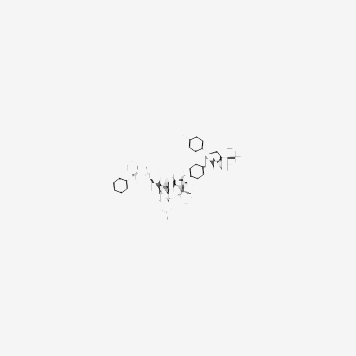 Cc1ccc(-c2cc(C(F)(F)F)nn2-c2ccc(S(=O)(=O)NC(=O)[C@H](CC(C)C)N(C)/[N+]([O-])=N/OC(C)OC(=O)c3ccccc3)cc2)cc1